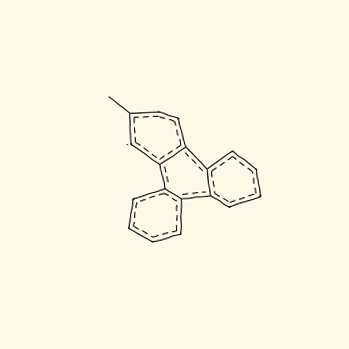 Cc1[c]c2c3ccccc3c3ccccc3c2cc1